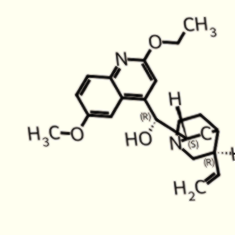 C=C[C@H]1CN2CCC1C[C@H]2[C@H](O)c1cc(OCC)nc2ccc(OC)cc12